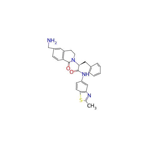 Cc1nc2cc(NC(=O)[C@H](Cc3ccccc3)N3CCc4cc(CN)ccc4C3=O)ccc2s1